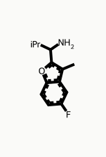 Cc1c(C(N)C(C)C)oc2ccc(F)cc12